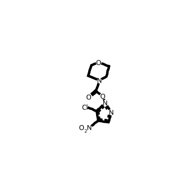 O=C(On1ncc([N+](=O)[O-])c1Cl)N1CCOCC1